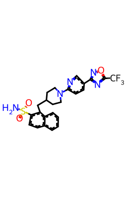 NS(=O)(=O)c1ccc2ccccc2c1CC1CCN(c2ccc(-c3noc(C(F)(F)F)n3)cn2)CC1